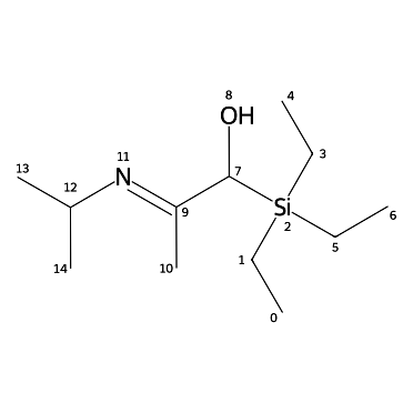 CC[Si](CC)(CC)C(O)C(C)=NC(C)C